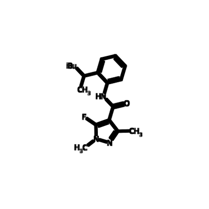 CCC(C)C(C)c1ccccc1NC(=O)c1c(C)nn(C)c1F